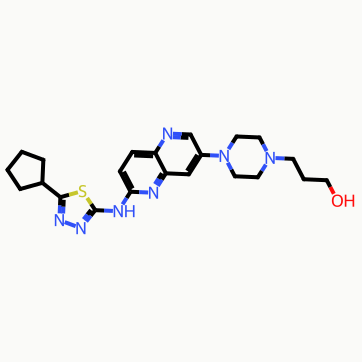 OCCCN1CCN(c2cnc3ccc(Nc4nnc(C5CCCC5)s4)nc3c2)CC1